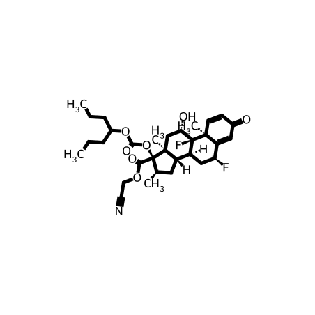 CCCC(CCC)OC(=O)O[C@]1(C(=O)OCC#N)[C@H](C)C[C@H]2[C@@H]3C[C@H](F)C4=CC(=O)C=C[C@]4(C)[C@@]3(F)[C@@H](O)C[C@@]21C